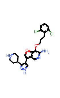 Nc1ncc2c(-c3c[nH]nc3C3CCNCC3)coc2c1OCCCc1c(Cl)cccc1Cl